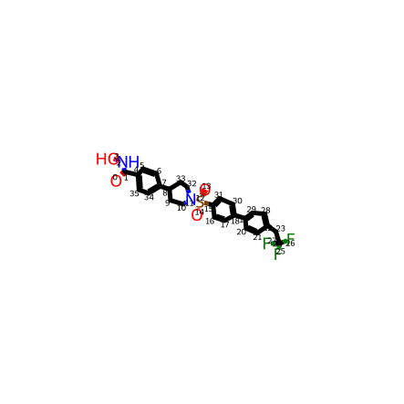 O=C(NO)c1ccc(C2CCN(S(=O)(=O)c3ccc(-c4ccc(CC(F)(F)F)cc4)cc3)CC2)cc1